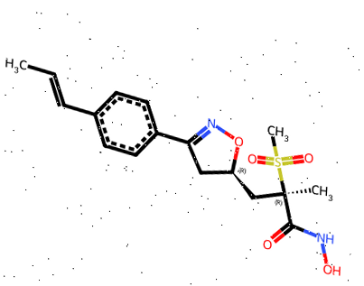 CC=Cc1ccc(C2=NO[C@@H](C[C@](C)(C(=O)NO)S(C)(=O)=O)C2)cc1